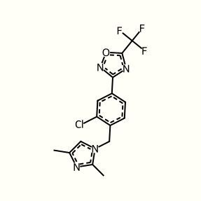 Cc1cn(Cc2ccc(-c3noc(C(F)(F)F)n3)cc2Cl)c(C)n1